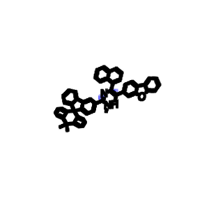 CN/C(=N\C(=C(/C)c1ccc2c(c1)oc1ccccc12)c1cccc2ccccc12)c1ccc2c(c1)-c1ccccc1C21c2ccccc2C(C)(C)c2ccccc21